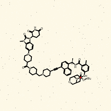 Cc1ccc(NC2CC3COCC(C2)N3C(=O)OC(C)(C)C)cc1C(=O)N[C@H](C)c1ccc(C#CC2CCN(CC3CCN(C(=O)C4CCN(c5ccc6c(c5)n(C)c(=O)n6C5CCC(=O)NC5=O)CC4)CC3)CC2)c2ccccc12